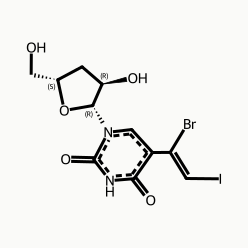 O=c1[nH]c(=O)n([C@@H]2O[C@H](CO)C[C@H]2O)cc1C(Br)=CI